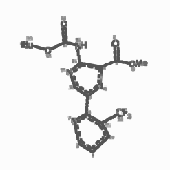 COC(=O)c1nc(-c2ncccc2C(F)(F)F)cnc1NC(=O)OC(C)(C)C